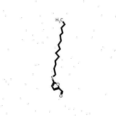 CCCCCCCCCCCCCCSc1ccc(C=O)o1